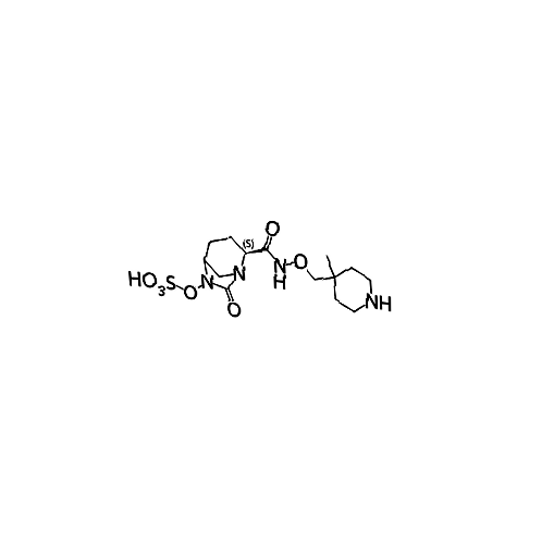 CC1(CONC(=O)[C@@H]2CCC3CN2C(=O)N3OS(=O)(=O)O)CCNCC1